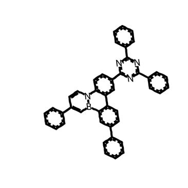 C1=CN2B(C=C1c1ccccc1)c1cc(-c3ccccc3)ccc1-c1cc(-c3nc(-c4ccccc4)nc(-c4ccccc4)n3)ccc12